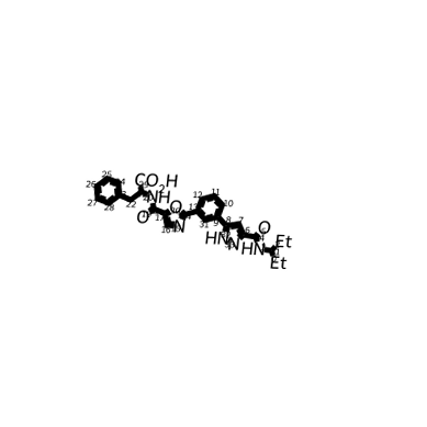 CCC(CC)NC(=O)c1cc(-c2cccc(-c3ncc(C(=O)NC(Cc4ccccc4)C(=O)O)o3)c2)[nH]n1